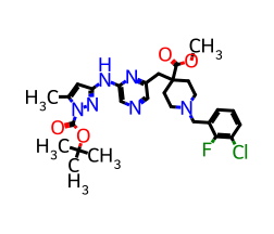 COC(=O)C1(Cc2cncc(Nc3cc(C)n(C(=O)OC(C)(C)C)n3)n2)CCN(Cc2cccc(Cl)c2F)CC1